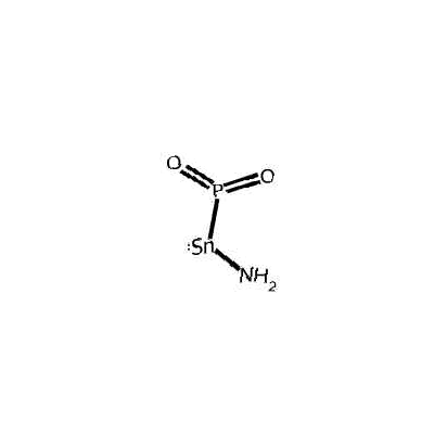 [NH2][Sn][P](=O)=O